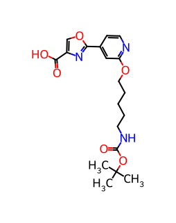 CC(C)(C)OC(=O)NCCCCCOc1cc(-c2nc(C(=O)O)co2)ccn1